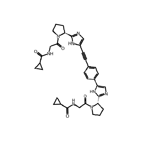 O=C(NCC(=O)N1CCC[C@H]1c1ncc(C#Cc2ccc(-c3cnc([C@@H]4CCCN4C(=O)CNC(=O)C4CC4)[nH]3)cc2)[nH]1)C1CC1